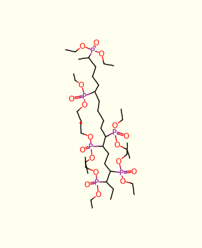 CCOP(=O)(OCC)C(C)CCCC(CCCCC(C(CCC(C(CC)P(=O)(OCC)OCC)P(=O)(OCC)OCC)P(=O)(OCC)OCC)P(=O)(OCC)OCC)P(=O)(OCC)OCC